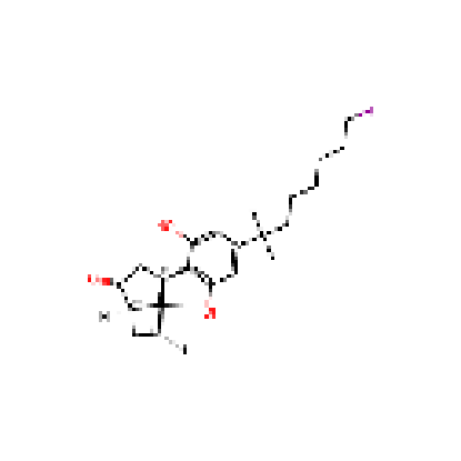 CC(C)(CCCCCCI)c1cc(O)c([C@@]23CC(=O)[C@@H]4C[C@H]2C43C)c(O)c1